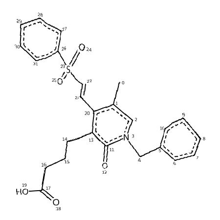 Cc1cn(Cc2ccccc2)c(=O)c(CCCC(=O)O)c1C=CS(=O)(=O)c1ccccc1